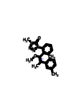 C/C(=C(\ON)c1c(C)cccc1-n1nnn(C)c1=O)c1cccc(C)c1